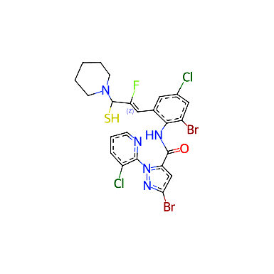 O=C(Nc1c(Br)cc(Cl)cc1/C=C(\F)C(S)N1CCCCC1)c1cc(Br)nn1-c1ncccc1Cl